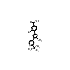 Cc1sc(-c2ccc(C(=O)O)cc2Cl)cc1-c1ccnc(C(C)(C)C)c1